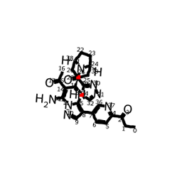 CCC(=O)c1ccc(-c2cnn3c(N)c(C(C)=O)c([C@H]4C[C@H]5CC[C@@H](C4)N5C(=O)c4nnc[nH]4)nc23)cn1